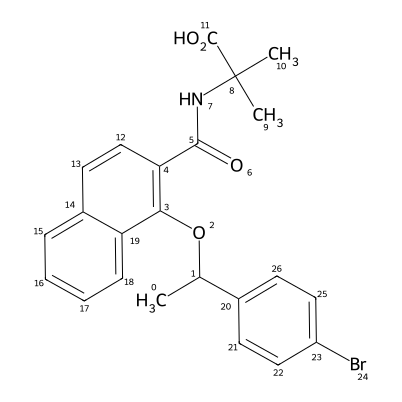 CC(Oc1c(C(=O)NC(C)(C)C(=O)O)ccc2ccccc12)c1ccc(Br)cc1